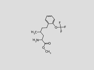 COC(=O)C(N)CC(C)CCc1ccccc1OC(F)(F)F